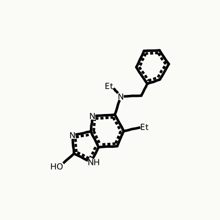 CCc1cc2[nH]c(O)nc2nc1N(CC)Cc1ccccc1